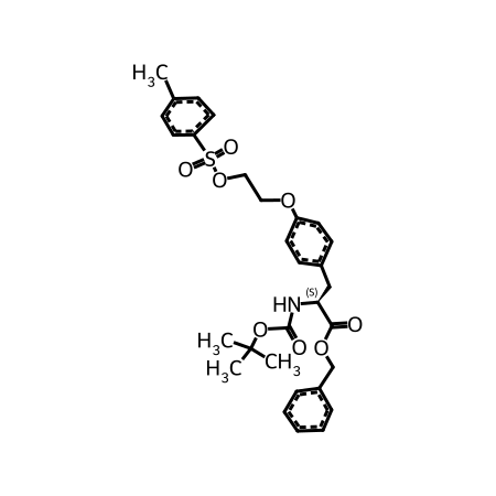 Cc1ccc(S(=O)(=O)OCCOc2ccc(C[C@H](NC(=O)OC(C)(C)C)C(=O)OCc3ccccc3)cc2)cc1